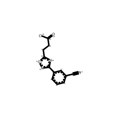 N#Cc1cccc(-c2noc(CCC(=O)Cl)n2)c1